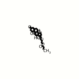 CCCC(=O)OCCCC[C@]1(O)CC[C@H]2[C@@H]3CCC4=CC(=O)C[C@H](C)[C@]4(C)[C@H]3CC[C@@]21C